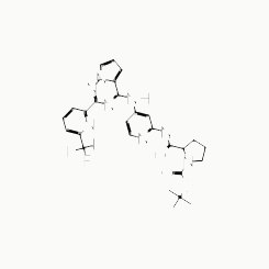 CC(C)(C)OC(=O)N1CCCC1C(=O)Nc1cc(Nc2nc(-c3cccc(C(F)(F)F)n3)nn3cccc23)ccn1